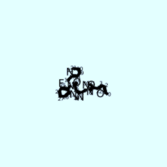 Cc1ccc(-c2nc(-c3ncn4c3c(=O)n(Cc3ccccn3)c3c(F)cccc34)no2)o1